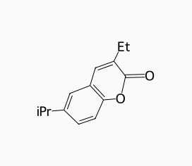 CCc1cc2cc(C(C)C)ccc2oc1=O